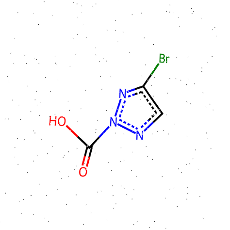 O=C(O)n1ncc(Br)n1